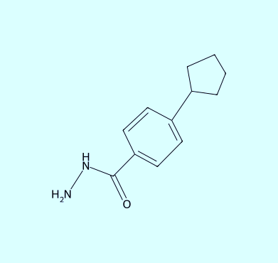 NNC(=O)c1ccc(C2CCCC2)cc1